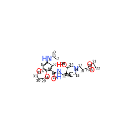 CC(C)Nc1cc2c(c(C(=O)NC[C@@H]3CCN(CCC4OCCO4)CC3O)c1)OCCCO2